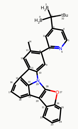 BC(B)(c1ccnc(-c2cc3c(cc2C)c2cccc4c5c6ccccc6oc5n3c24)c1)C(C)(C)C